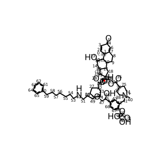 C[C@]12C=CC(=O)C=C1CCC1C2[C@@H](O)C[C@@]2(C)C1C[C@H]1O[C@@H](C3CCCCC3)O[C@]12C(=O)COC(=O)C1CC[N+](C)(Cc2cc(C(O)COCCCNCCCCCCCc3ccccc3)ccc2OP(=O)(O)O)CC1